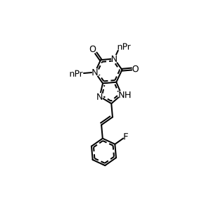 CCCn1c(=O)c2[nH]c(C=Cc3ccccc3F)nc2n(CCC)c1=O